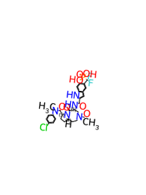 CC(=O)N1CC[C@H]2CC[C@@H](C(=O)N(C)c3ccc(Cl)cc3)N2C(=O)[C@@H](NC(=O)c2cc3cc(C(F)(F)P(=O)(O)O)ccc3[nH]2)C1